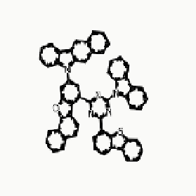 c1ccc2cc3c(cc2c1)c1ccccc1n3-c1cc(-c2nc(-c3cccc4c3sc3ccccc34)nc(-n3c4ccccc4c4ccccc43)n2)c2c(c1)oc1c3ccccc3ccc12